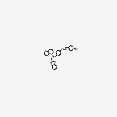 [O-][n+]1ccc(CNCc2ccc(CN(Cc3nc4ccccc4[nH]3)C3CCCc4cccnc43)cc2)cc1